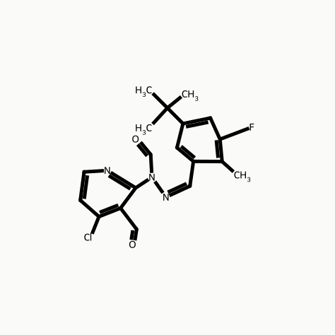 Cc1c(F)cc(C(C)(C)C)cc1/C=N\N(C=O)c1nccc(Cl)c1C=O